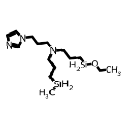 CCO[SiH2]CCCN(CCC[SiH2]C)CCCn1ccnc1